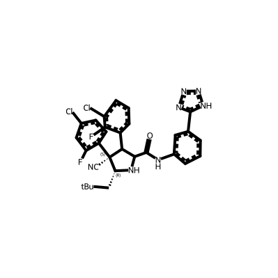 CC(C)(C)C[C@H]1NC(C(=O)Nc2cccc(-c3nnn[nH]3)c2)C(c2cccc(Cl)c2F)[C@]1(C#N)c1ccc(Cl)cc1F